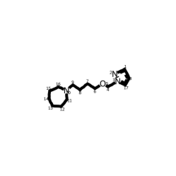 c1cnn(COCCCCN2CCCCCC2)c1